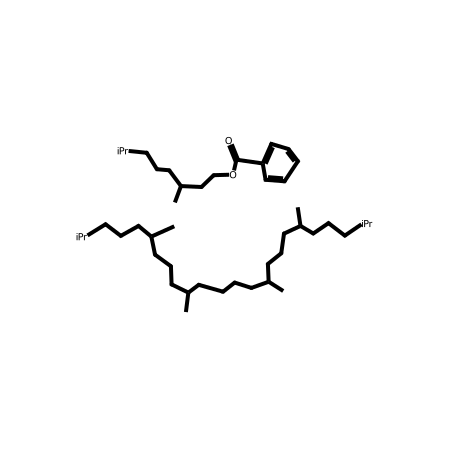 CC(C)CCCC(C)CCCC(C)CCCCC(C)CCCC(C)CCCC(C)C.CC(C)CCCC(C)CCOC(=O)c1ccccc1